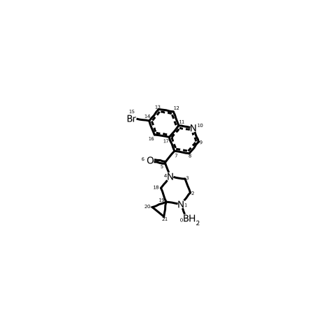 BN1CCN(C(=O)c2ccnc3ccc(Br)cc23)CC12CC2